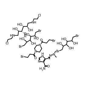 CN(C)/N=N/c1[nH]cnc1C(N)=O.O=C(CCBr)N1CCN(C(=O)CCBr)CC1.OC(CBr)C(O)C(O)C(O)CBr.OC(CBr)C(O)C(O)C(O)CBr.O[C@@H]([C@H](O)[C@H](O)CNCCCl)[C@H](O)CNCCCl